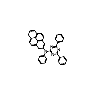 C1=Cc2ccc3c4c(ccc(c24)C1)CC(N(c1ccccc1)c1nc(-c2ccccc2)nc(-c2ccccc2)n1)=C3